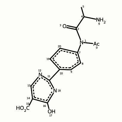 CC(=O)N(C(=O)C(C)N)c1ccc(-c2ncc(C(=O)O)c(O)n2)cc1